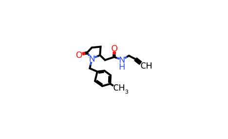 C#CCNC(=O)CC1CCC(=O)N1Cc1ccc(C)cc1